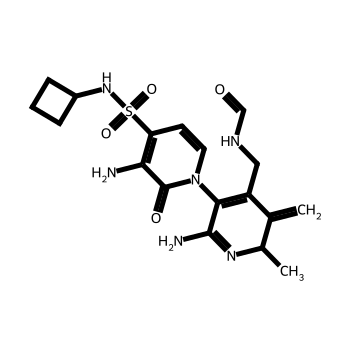 C=C1C(CNC=O)=C(n2ccc(S(=O)(=O)NC3CCC3)c(N)c2=O)C(N)=NC1C